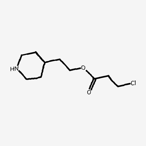 O=C(CCCl)OCCC1CCNCC1